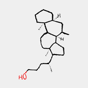 CC1C[C@@H]2CCCC[C@]2(C)C2CC[C@@]3(C)C(CCC3[C@H](C)CCCO)[C@H]12